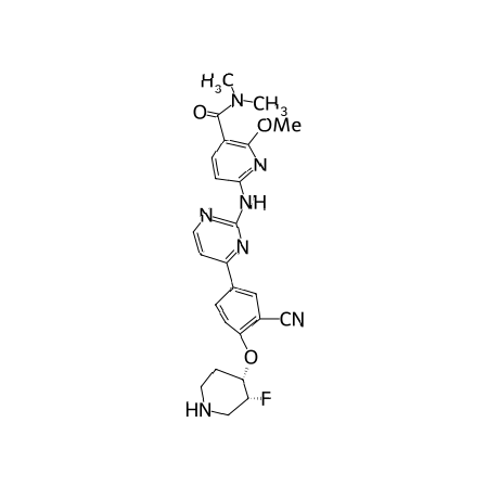 COc1nc(Nc2nccc(-c3ccc(O[C@H]4CCNC[C@H]4F)c(C#N)c3)n2)ccc1C(=O)N(C)C